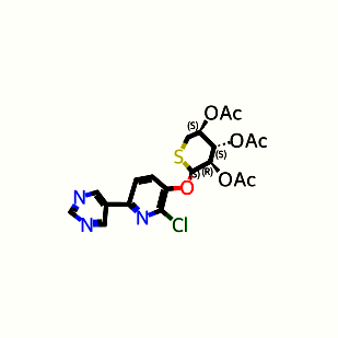 CC(=O)O[C@@H]1[C@@H](OC(C)=O)[C@@H](Oc2ccc(-c3cncnc3)nc2Cl)SC[C@H]1OC(C)=O